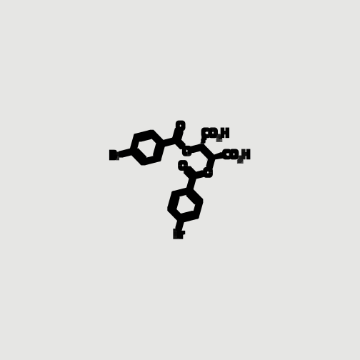 O=C(O[C@H](C(=O)O)[C@H](OC(=O)c1ccc(Br)cc1)C(=O)O)c1ccc(Br)cc1